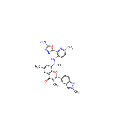 Cc1cc([C@@H](C)Nc2ccc(C)nc2-c2nnc(N)o2)c2oc(-c3ccc4nn(C)cc4c3)c(C)c(=O)c2c1